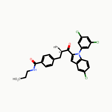 CCC[C@H](Cc1ccc(C(=O)NCCC(=O)O)cc1)C(=O)c1cc2cc(Cl)ccc2n1-c1cc(Cl)cc(Cl)c1